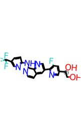 OC[C@H](O)c1cnc(-c2cnc3c(Nc4ccc(C(F)(F)F)cn4)nccc3c2)c(F)c1